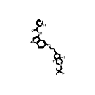 O=C(Nc1c[nH]c2ccc(OCCC3C[C@@H]4CN(CC(F)(F)F)C[C@@H]4C3)cc12)c1ccn[nH]1